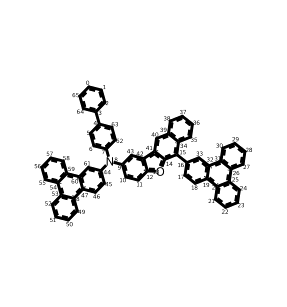 c1ccc(-c2ccc(N(c3ccc4oc5c(-c6ccc7c8ccccc8c8ccccc8c7c6)c6ccccc6cc5c4c3)c3ccc4c5ccccc5c5ccccc5c4c3)cc2)cc1